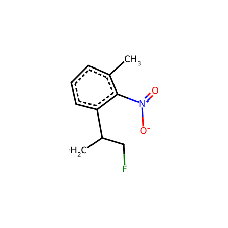 [CH2]C(CF)c1cccc(C)c1[N+](=O)[O-]